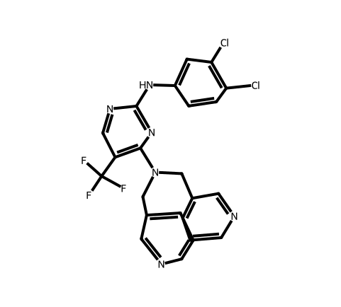 FC(F)(F)c1cnc(Nc2ccc(Cl)c(Cl)c2)nc1N(Cc1cccnc1)Cc1cccnc1